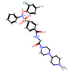 CN1CCC(N2CCN(C(=O)CNC(=O)c3ccc(S(=O)(=O)N(Oc4ccc(F)cc4Cl)c4ccccc4)cc3)CC2)CC1